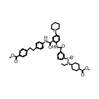 CCN(C1CCC(C(=O)OC)CC1)[S+]([O-])c1cccc(C(=O)Nc2ccc(N3CCCCC3)cc2C(=O)Nc2ccc(CCc3ccc(C(=O)OC)cc3)cc2)c1